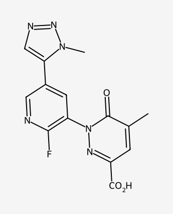 Cc1cc(C(=O)O)nn(-c2cc(-c3cnnn3C)cnc2F)c1=O